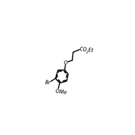 CCOC(=O)CCOc1ccc(OC)c(Br)c1